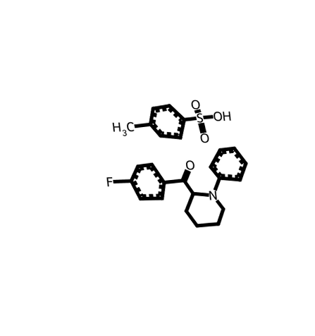 Cc1ccc(S(=O)(=O)O)cc1.O=C(c1ccc(F)cc1)C1CCCCN1c1ccccc1